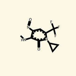 CNc1c(N=O)cc(C(F)(F)F)n(C2CC2)c1=O